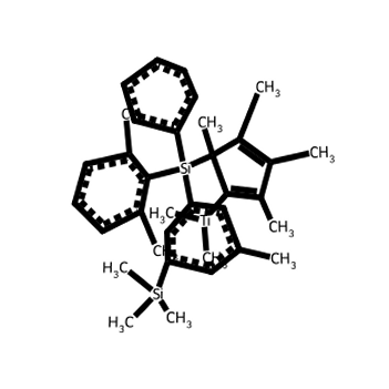 CC1=C(C)C(C)([Si](c2ccccc2)(c2cc(C)cc([Si](C)(C)C)c2)c2c(C)cccc2C)[C]([Ti]([CH3])[CH3])=C1C